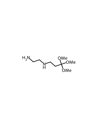 COC(CCNCCN)(OC)OC